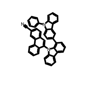 N#Cc1ccc2cc(-n3c4ccccc4c4cccc(-c5ccc6c(c5)c5ccccc5n6-c5ccccc5)c43)c3ccccc3c2c1